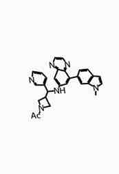 CC(=O)N1CC(C(Nc2cc(-c3ccc4ccn(C)c4c3)c3nccnc3c2)c2cccnc2)C1